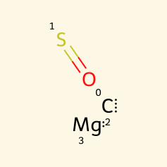 O=S.[C].[Mg]